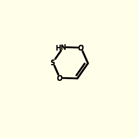 c1cos[nH]o1